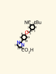 CC(C)(C)c1ccc(COc2ccc(-c3nccc(C(=O)O)n3)cc2)cc1C#N